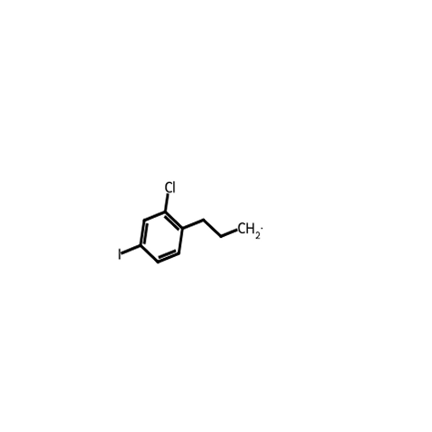 [CH2]CCc1ccc(I)cc1Cl